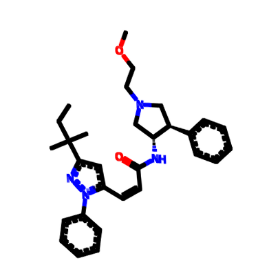 CCC(C)(C)c1cc(/C=C\C(=O)N[C@@H]2CN(CCOC)C[C@H]2c2ccccc2)n(-c2ccccc2)n1